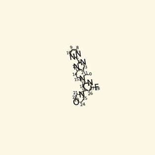 CC1c2cnc(-c3ncccn3)nc2CCN1c1cc(N2CCOCC2)cc(F)n1